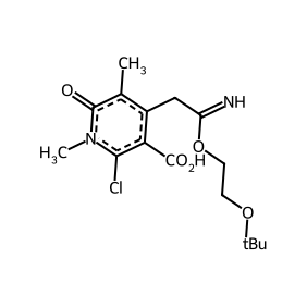 Cc1c(CC(=N)OCCOC(C)(C)C)c(C(=O)O)c(Cl)n(C)c1=O